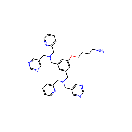 NCCCCOc1cc(CN(Cc2cncnc2)Cc2ccccn2)cc(CN(Cc2cncnc2)Cc2ccccn2)c1